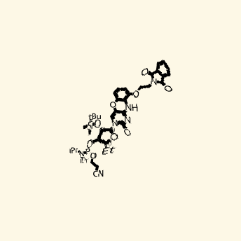 CC[C@H]1O[C@@H](n2cc3c(nc2=O)Nc2c(OCCN4C(=O)c5ccccc5C4=O)cccc2O3)[C@@H](O[Si](C)(C)C(C)(C)C)C1OP(OCCC#N)N(C(C)C)C(C)C